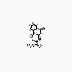 NC(=O)NN=C1C=C(Br)c2ccccc2C1=O